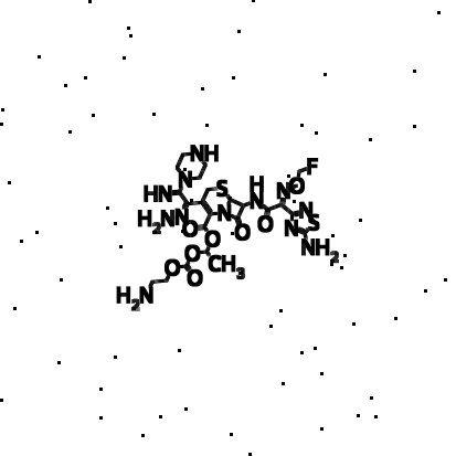 CC(OC(=O)OCCN)OC(=O)C1=C(C(=NN)C(=N)N2CCNCC2)CSC2C(NC(=O)C(=NOCF)c3nsc(N)n3)C(=O)N12